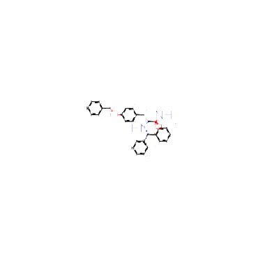 NC(=O)[C@H](Cc1ccc(OCc2ccccc2)cc1)NC(c1ccccc1)c1ccccc1